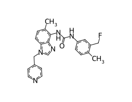 Cc1ccc(NC(=O)Nc2c(C)ccc3c2ncn3Cc2ccncc2)cc1CF